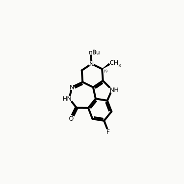 CCCCN1CC2=NNC(=O)c3cc(F)cc4[nH]c(c2c34)[C@@H]1C